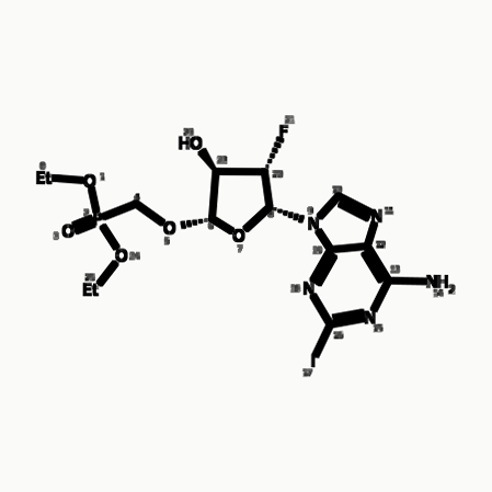 CCOP(=O)(CO[C@H]1O[C@@H](n2cnc3c(N)nc(I)nc32)[C@@H](F)[C@@H]1O)OCC